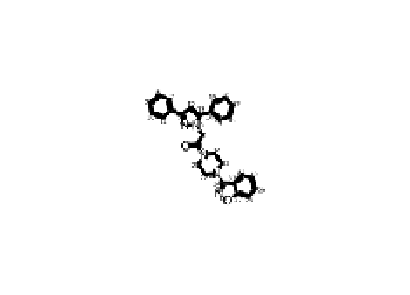 O=C(Cn1nc(-c2ccccc2)cc1-c1ccccc1)N1CCN(c2noc3ccccc23)CC1